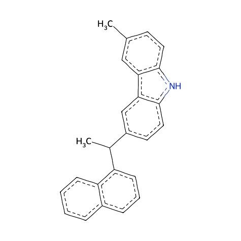 Cc1ccc2[nH]c3ccc(C(C)c4cccc5ccccc45)cc3c2c1